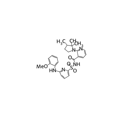 COc1ccccc1Nc1cccc(S(=O)(=O)NC(=O)c2cccnc2N2CCC(C)C2(C)C)n1